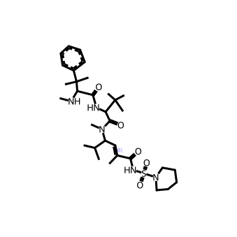 CNC(C(=O)NC(C(=O)N(C)C(/C=C(\C)C(=O)NS(=O)(=O)N1CCCCC1)C(C)C)C(C)(C)C)C(C)(C)c1ccccc1